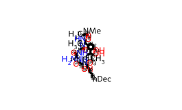 CCC=C(c1cc([C@@H](C(=O)N[C@@H](C)C(=O)NC)N(C)C(=O)CNC(=O)[C@@H](N)NC(=O)[C@@H](CO)N(C)C(=O)CCCCCCCCCCCCCCC)ccc1O)C(C)O